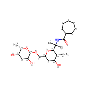 CCC(CC)(NC(=O)C1CCCCCC1)[C@@H]1O[C@H](CO[C@@H]2O[C@@H](C)[C@@H](O)CC2O)CC(O)[C@H]1NC(C)=O